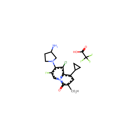 NC1CCN(c2c(F)cn3c(=O)c(C(=O)O)cc(C4CC4)c3c2Cl)C1.O=C(O)C(F)(F)F